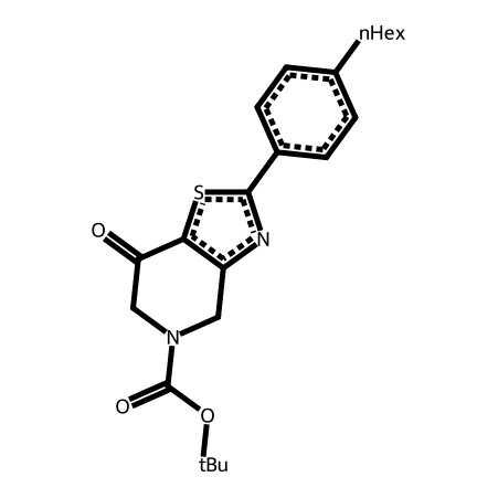 CCCCCCc1ccc(-c2nc3c(s2)C(=O)CN(C(=O)OC(C)(C)C)C3)cc1